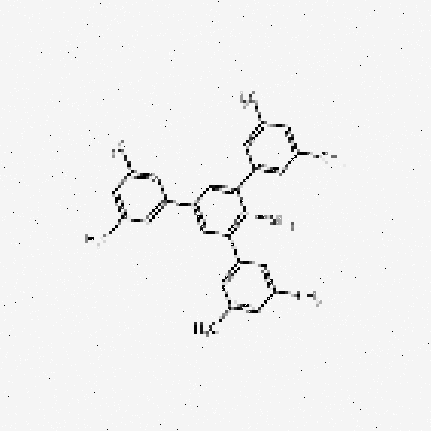 Cc1cc(C)cc(-c2cc(-c3cc(C)cc(C)c3)c([SiH3])c(-c3cc(C)cc(C)c3)c2)c1